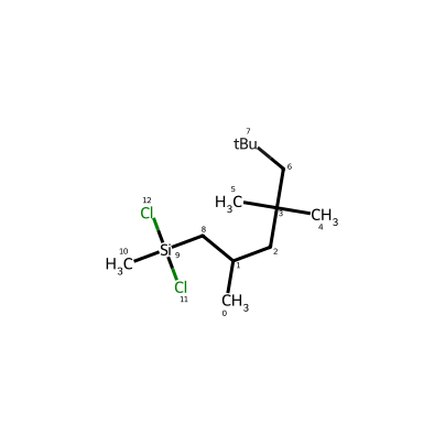 CC(CC(C)(C)CC(C)(C)C)C[Si](C)(Cl)Cl